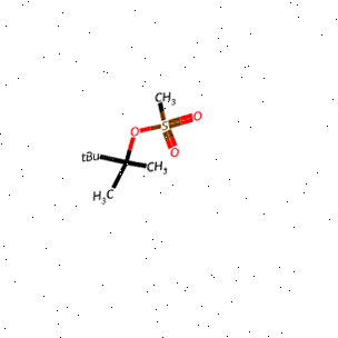 CC(C)(C)C(C)(C)OS(C)(=O)=O